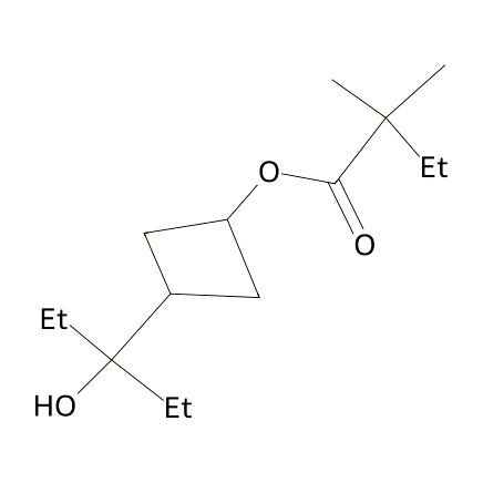 CCC(C)(C)C(=O)OC1CC(C(O)(CC)CC)C1